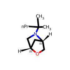 CCCC(C)(C)N1C[C@@H]2C[C@H]1CO2